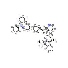 C=C(/C=C1\C(=C)c2ccccc2C1(C)C)CCC(Cc1ccccn1)c1ccc(C2=CC3c4ccccc4N(c4ccccc4)C3C=C2)cc1